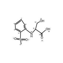 CS(=O)(=O)c1ccccc1NC(CO)C(=O)O